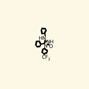 O=c1[nH]c(NCc2ccccc2)c(-c2ccccc2)n1-c1ccc(C(F)(F)F)cc1